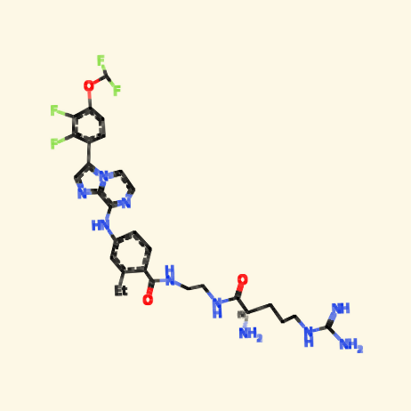 CCc1cc(Nc2nccn3c(-c4ccc(OC(F)F)c(F)c4F)cnc23)ccc1C(=O)NCCNC(=O)[C@@H](N)CCCNC(=N)N